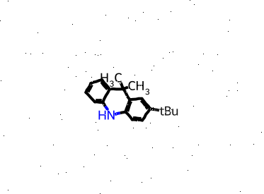 CC(C)(C)c1ccc2c(c1)C(C)(C)c1ccccc1N2